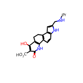 CC(C)NCc1cc2c3c(ccc2[nH]1)-c1[nH]c(=O)c(C(=O)O)c(O)c1CC3